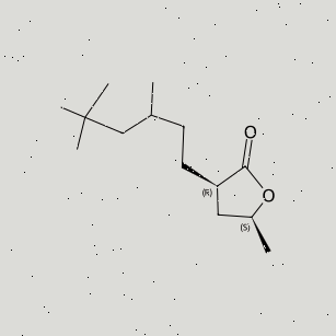 CC(CC[C@@H]1C[C@H](C)OC1=O)CC(C)(C)C